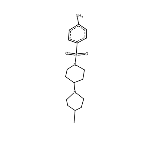 CC1CCN(C2CCN(S(=O)(=O)c3ccc(N)cc3)CC2)CC1